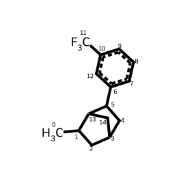 CC1CC2CC(c3cccc(C(F)(F)F)c3)C1C2